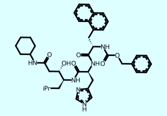 CC(C)C[C@H](NC(=O)[C@H](Cc1c[nH]cn1)NC(=O)[C@H](Cc1cccc2ccccc12)NC(=O)OCc1ccccc1)[C@@H](O)CC(=O)NC1CCCCC1